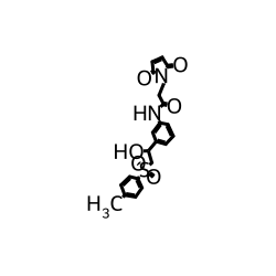 Cc1ccc(S(=O)(=O)CC(O)c2cccc(NC(=O)CCN3C(=O)C=CC3=O)c2)cc1